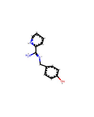 N/C(=N\Cc1ccc(O)cc1)c1ccccn1